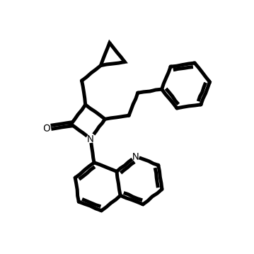 O=C1C(CC2CC2)C(CCc2ccccc2)N1c1cccc2cccnc12